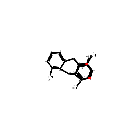 N#Cc1cccc2c1C1c3cccc(C#N)c3C2c2c(O)ccc(O)c21